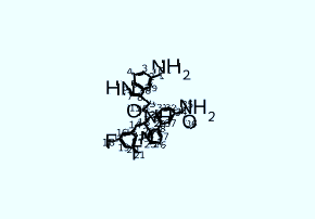 NCc1ccc2[nH]cc(CC(=O)NC(Cc3cc(F)cc(F)c3)c3ncccc3-c3cccc(C(N)=O)c3)c2c1